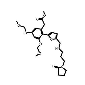 COCOc1cc(CC(=O)OC)c(-c2ccc(CNCCCN3CCCC3=O)o2)c(OCOC)c1